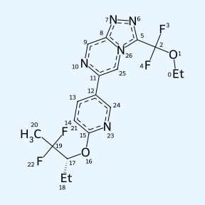 CCOC(F)(F)c1nnc2cnc(-c3ccc(O[C@H](CC)C(C)(F)F)nc3)cn12